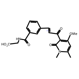 COc1cc(C)n(C)c(=O)c1C(=O)/C=C/c1cccc(C(=O)NCC(=O)O)c1